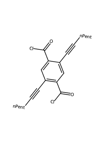 CCCCCC#Cc1cc(C(=O)Cl)c(C#CCCCCC)cc1C(=O)Cl